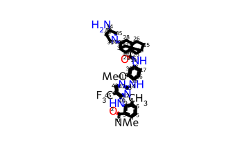 CNC(=O)c1cccc(C)c1Nc1nc(Nc2ccc(NC(=O)[C@]34CC5CCC3C[C@H](N3CC[C@H](N)C3)C(C5)C4)cc2OC)ncc1C(F)(F)F